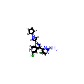 Nc1ncc(F)c(-c2cn(C3CN(C4CCCC4)C3)c3cnc(Br)cc23)n1